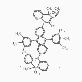 C/C=C\C1=C(CC)N(c2ccc3c(-c4cc(C)c(C)c(C)c4)c4cc(N5c6ccccc6C(C)(C)c6ccccc65)ccc4c(-c4cc(C)c(C)c(C)c4)c3c2)c2ccccc2C1(C)C